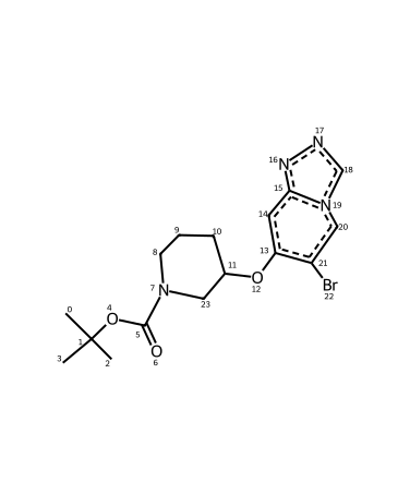 CC(C)(C)OC(=O)N1CCCC(Oc2cc3nncn3cc2Br)C1